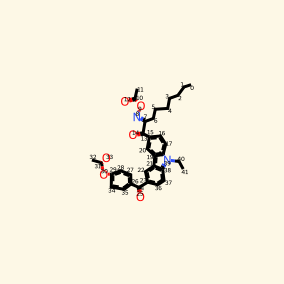 CCCCCCC/C(=N\OC(C)=O)C(=O)c1ccc2c(c1)c1cc(C(=O)c3ccc(OC(C)=O)cc3)ccc1n2CC